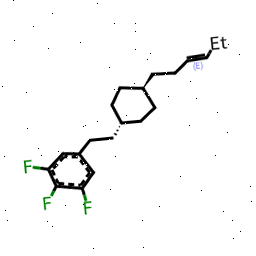 CC/C=C/CC[C@H]1CC[C@H](CCc2cc(F)c(F)c(F)c2)CC1